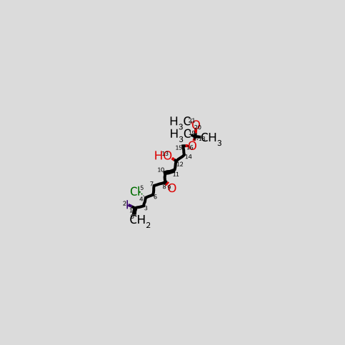 C=C(I)C[C@H](Cl)CCC(=O)/C=C/C(O)CCOC(C)(C)OC